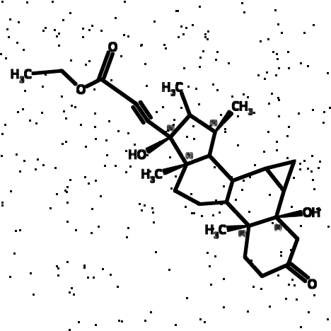 CCOC(=O)C#C[C@]1(O)C(C)[C@@H](C)C2C3C4CC4[C@]4(O)CC(=O)CC[C@]4(C)C3CC[C@@]21C